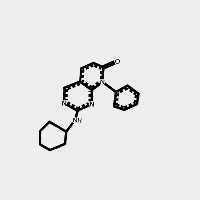 O=c1ccc2cnc(NC3CCCCC3)nc2n1-c1ccccc1